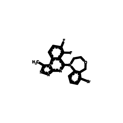 Cc1nnc2nc(N3CCOCc4c(Br)cccc43)c3c(F)c(F)ccc3n12